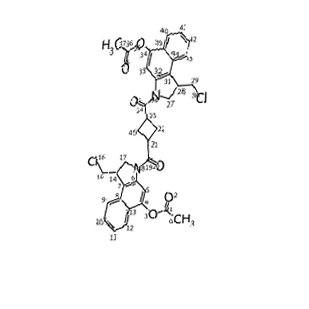 CC(=O)Oc1cc2c(c3ccccc13)C(CCl)CN2C(=O)C1CC(C(=O)N2CC(CCl)c3c2cc(OC(C)=O)c2ccccc32)C1